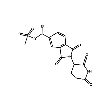 CCC(OS(C)(=O)=O)c1ccc2c(c1)C(=O)N(C1CCC(=O)NC1=O)C2=O